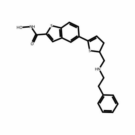 O=C(NO)c1cc2cc(C3=CCC(CNCCc4ccccc4)S3)ccc2s1